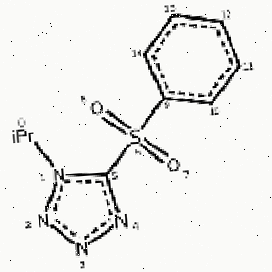 CC(C)n1nnnc1S(=O)(=O)c1ccccc1